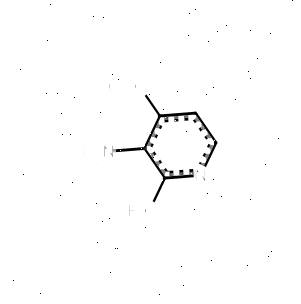 Nc1c(C=O)ccnc1C(F)(F)F